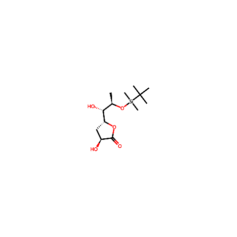 C[C@@H](O[Si](C)(C)C(C)(C)C)[C@@H](O)[C@H]1C[C@H](O)C(=O)O1